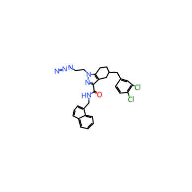 [N-]=[N+]=NCCn1nc(C(=O)NCc2cccc3ccccc23)c2c1CCC(Cc1ccc(Cl)c(Cl)c1)C2